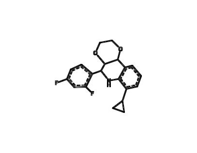 Fc1ccc(C2Nc3c(C4CC4)cccc3C3OCCOC23)c(F)c1